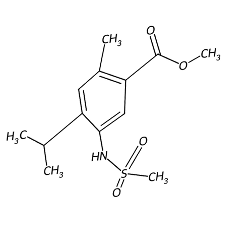 COC(=O)c1cc(NS(C)(=O)=O)c(C(C)C)cc1C